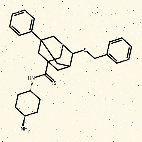 N[C@H]1CC[C@H](NC(=S)C23CC4CC(c5ccccc5)(CC(C2)C4SCc2ccccc2)C3)CC1